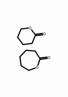 O=C1CCCCCO1.O=C1CCCCO1